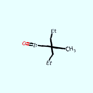 CC[C](C)(CC)[Zr]=[O]